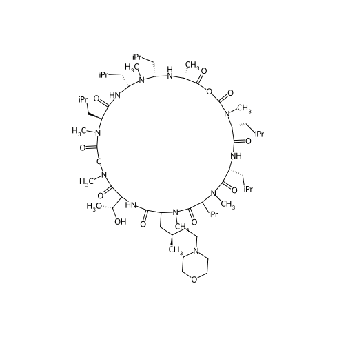 CC(C)C[C@@H]1C(=O)N[C@H](CC(C)C)C(=O)N(C)C(C(C)C)C(=O)N(C)C(C[C@H](C)CCN2CCOCC2)C(=O)NC([C@@H](C)O)C(=O)N(C)CC(=O)N(C)[C@@H](CC(C)C)C(=O)N[C@H](CC(C)C)N(C)[C@H](CC(C)C)N[C@H](C)C(=O)OC(=O)N1C